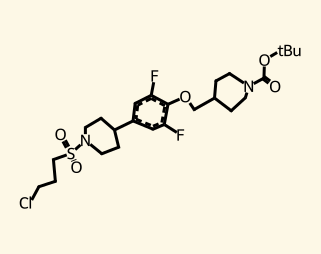 CC(C)(C)OC(=O)N1CCC(COc2c(F)cc(C3CCN(S(=O)(=O)CCCCl)CC3)cc2F)CC1